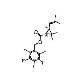 CC(C)=C[C@@H]1[C@@H](C(=O)OCc2c(C)c(F)c(C)c(F)c2C)C1(C)C